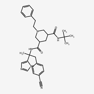 CC(C)(C)NC(=O)C1CC(C(=O)NC(C)(Cc2ccc(C#N)cc2)c2cnc[nH]2)CN(CCc2ccccc2)C1